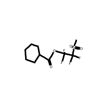 CS(=O)(=O)C(F)(F)C(F)(F)OC(=O)C1CCCCC1